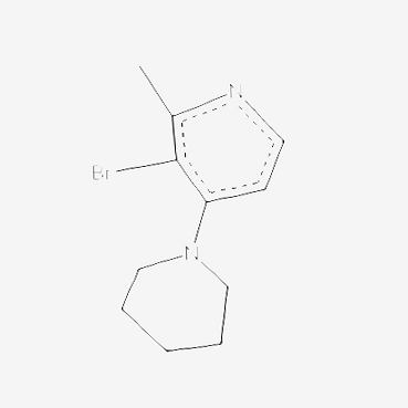 Cc1nccc(N2CCCCC2)c1Br